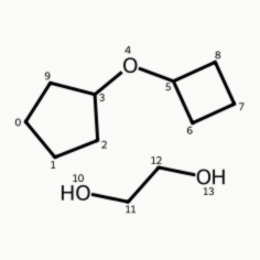 C1CCC(OC2CCC2)C1.OCCO